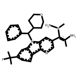 C/C(N)=C(\c1cnc2c3ccc(C(C)(C)F)cc3n(C(c3ccccc3)C3CCOCC3)c2c1)N(C)N